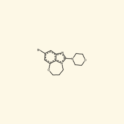 Brc1cc2c3c(c1)nc(N1CCOCC1)n3CCCO2